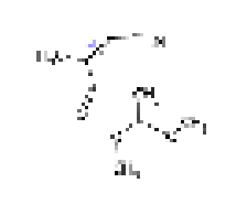 C/C(C=O)=C/C#N.COC(C)OC